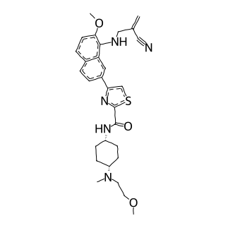 C=C(C#N)CNc1c(OC)ccc2ccc(-c3csc(C(=O)N[C@H]4CC[C@@H](N(C)CCOC)CC4)n3)cc12